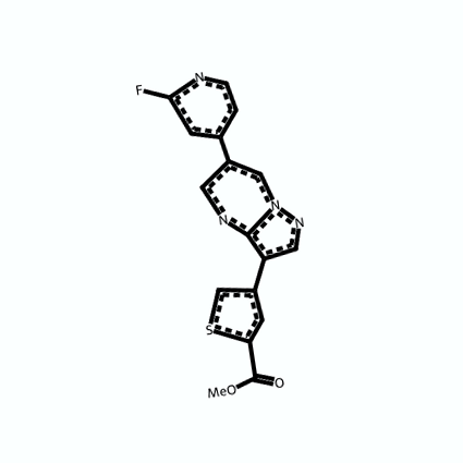 COC(=O)c1cc(-c2cnn3cc(-c4ccnc(F)c4)cnc23)cs1